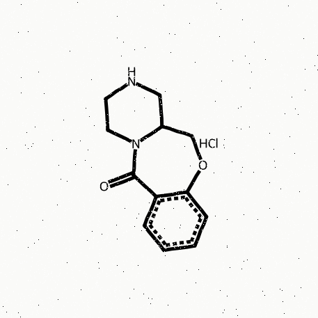 Cl.O=C1c2ccccc2OCC2CNCCN12